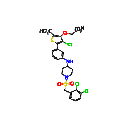 O=C(O)COc1c(C(=O)O)sc(-c2cccc(NC3CCN(S(=O)(=O)Cc4cccc(Cl)c4Cl)CC3)c2)c1Cl